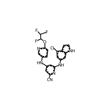 N#Cc1cc(Nc2ccc(OC(F)C(F)F)nc2)cc(Nc2cc(Cl)c3cc[nH]c3c2)n1